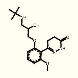 COc1cccc(OCC(O)CNC(C)(C)C)c1C1=NNC(=O)CC1